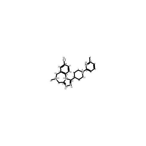 Cc1cccc(N2CCC(c3nnc4n3-c3ccc(Cl)cc3CN(C)C4)CC2)n1